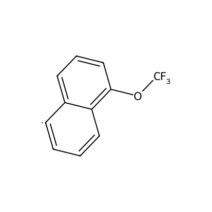 FC(F)(F)Oc1cccc2[c]cccc12